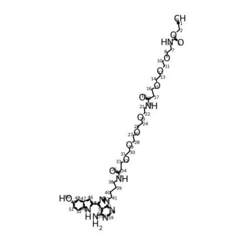 C#CCOC(=O)NCCOCCOCCOCCC(=O)NCCOCCOCCOCCOCCC(=O)NCCCCn1nc(-c2cc3cc(O)ccc3[nH]2)c2c(N)ncnc21